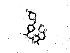 CCC(C)Cn1c(=O)ccc2c(C)nc(N[C@@H](C)c3ccc(CN4CCC(F)(F)CC4)cc3)nc21